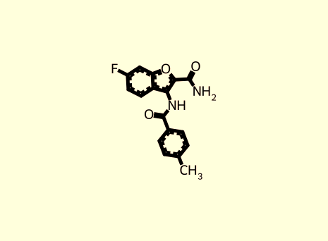 Cc1ccc(C(=O)Nc2c(C(N)=O)oc3cc(F)ccc23)cc1